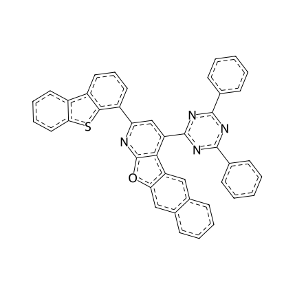 c1ccc(-c2nc(-c3ccccc3)nc(-c3cc(-c4cccc5c4sc4ccccc45)nc4oc5cc6ccccc6cc5c34)n2)cc1